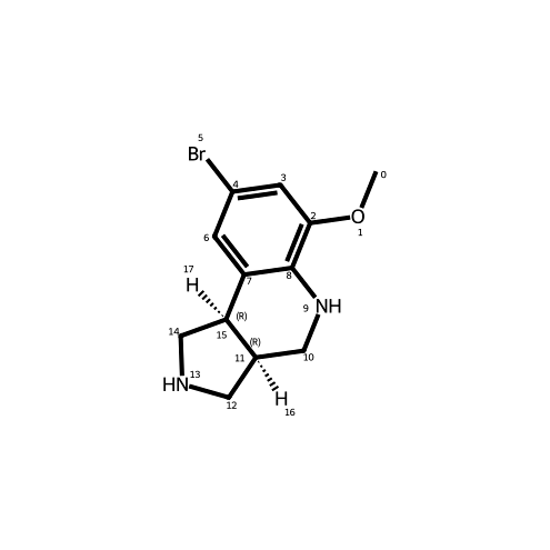 COc1cc(Br)cc2c1NC[C@H]1CNC[C@@H]21